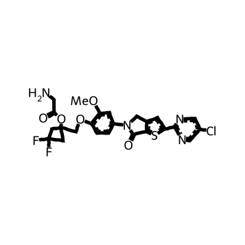 COc1cc(N2Cc3cc(-c4ncc(Cl)cn4)sc3C2=O)ccc1OCC1(OC(=O)CN)CC(F)(F)C1